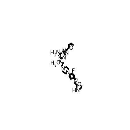 CN(CCN1CCN(c2ccc(OCC3CNCCO3)cc2F)CC1)c1nc(N)n2nc(-c3ccco3)nc2n1